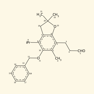 Cc1c(CCC=O)c2c(c(C(C)C)c1OCc1ccccc1)CC(C)(C)O2